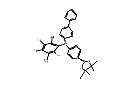 [2H]c1c([2H])c([2H])c(N(c2ccc(B3OC(C)(C)C(C)(C)O3)cc2)c2ccc(-c3ccccc3)cc2)c([2H])c1[2H]